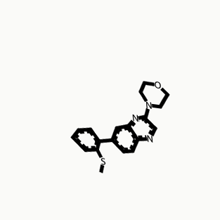 CSc1ccccc1-c1ccc2ncc(N3CCOCC3)nc2c1